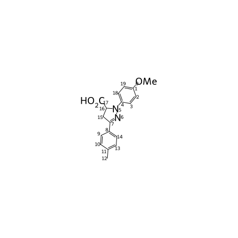 COc1ccc(N2N=C(c3ccc(C)cc3)CC2C(=O)O)cc1